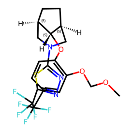 COCOc1cc(C(F)(F)F)ccc1O[C@@H]1[C@@H]2CC[C@H]1CN(c1nnc(C(F)(F)F)s1)C2